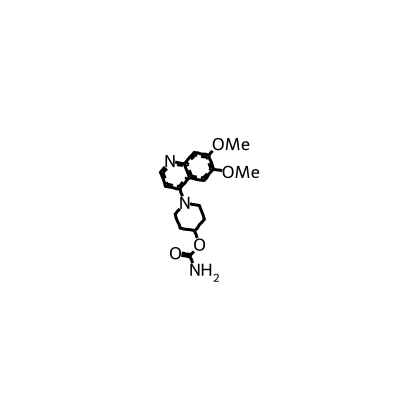 COc1cc2nccc(N3CCC(OC(N)=O)CC3)c2cc1OC